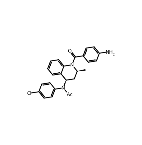 CC(=O)N(c1ccc(Cl)cc1)[C@@H]1C[C@H](C)N(C(=O)c2ccc(N)cc2)c2ccccc21